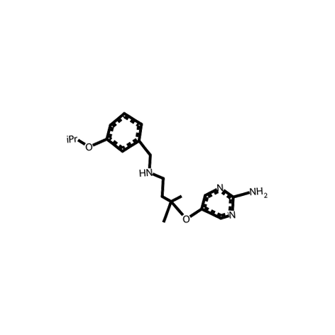 CC(C)Oc1cccc(CNCCC(C)(C)Oc2cnc(N)nc2)c1